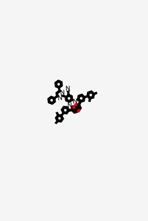 Cc1ccc(-c2ccc3c(c2)c2ccccc2n3-c2cc(C#N)c(-c3nc(-c4ccccc4)cc(-c4ccccc4)n3)cc2-n2c3ccccc3c3cc(-c4ccc(C)cc4C)ccc32)c(C)c1